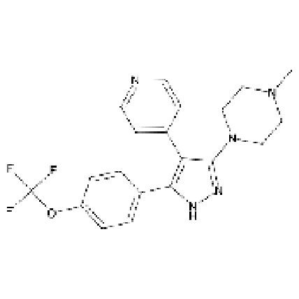 CN1CCN(c2n[nH]c(-c3ccc(OC(F)(F)F)cc3)c2-c2ccncc2)CC1